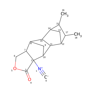 [C-]#[N+]C12C(=O)OCC1C1CC2C2C3CC(C(C)C3C)C12